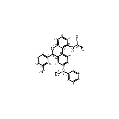 CCN(c1ccccc1)c1ccc2c(c1)C(c1cccc(Cl)c1)Oc1cccc(OC(F)F)c1-2